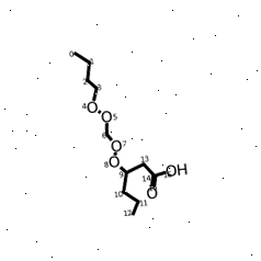 CCCCOOCOOC(CCC)CC(=O)O